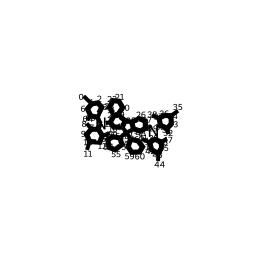 Cc1ccc(N(c2c(C)cc(C)cc2C)c2cc3c(c4ccccc24)-c2ccc(N(c4c(C)cc(C)cc4C)c4c(C)cc(C)cc4C)cc2C3(c2ccccc2)c2ccccc2)c(C)c1